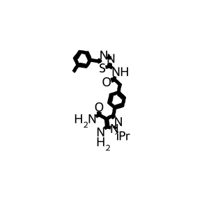 Cc1cccc(-c2nnc(NC(=O)Cc3ccc(-c4nn(C(C)C)c(N)c4C(N)=O)cc3)s2)c1